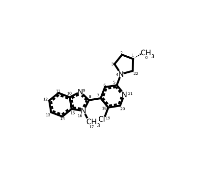 C[C@H]1CCN(c2cc(-c3nc4ccccc4n3C)c(Cl)cn2)C1